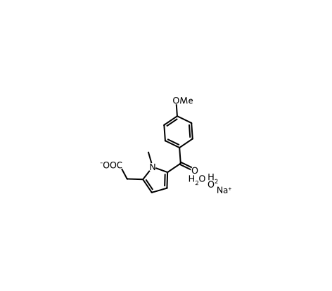 COc1ccc(C(=O)c2ccc(CC(=O)[O-])n2C)cc1.O.O.[Na+]